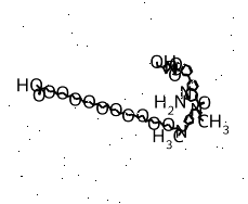 CCCN(Cc1ccc(CN(C)CCOCCOCCOCCOCCOCCOCCOCCOCCOCCOCC(=O)O)cc1)C(=O)C1=Cc2ccc(-c3cccc(S(=O)(=O)N4CC(CO)C4)c3)cc2N=C(N)C1